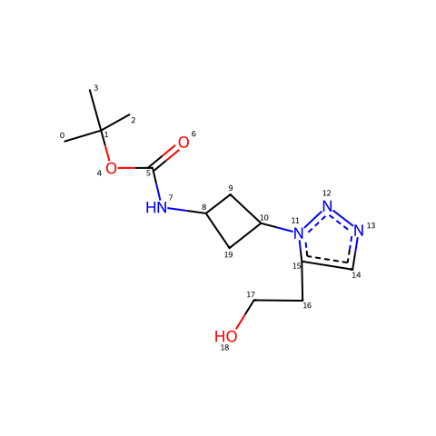 CC(C)(C)OC(=O)NC1CC(n2nncc2CCO)C1